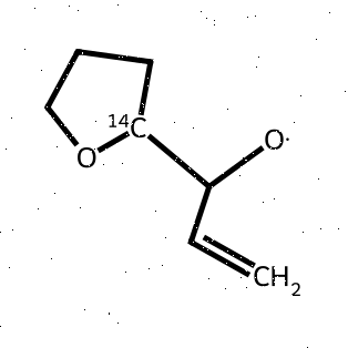 C=CC([O])[14CH]1CCCO1